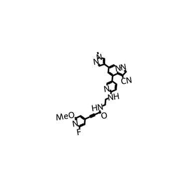 COc1cc(C#CC(=O)NCCNc2ccc(-c3cc(-c4cnn(C)c4)cn4ncc(C#N)c34)cn2)cc(F)n1